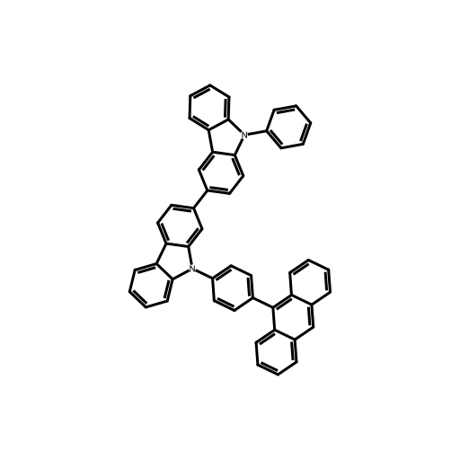 c1ccc(-n2c3ccccc3c3cc(-c4ccc5c6ccccc6n(-c6ccc(-c7c8ccccc8cc8ccccc78)cc6)c5c4)ccc32)cc1